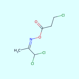 CC(=NOC(=O)CCCl)C(Cl)Cl